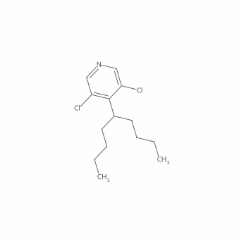 CCCCC(CCCC)c1c(Cl)cncc1Cl